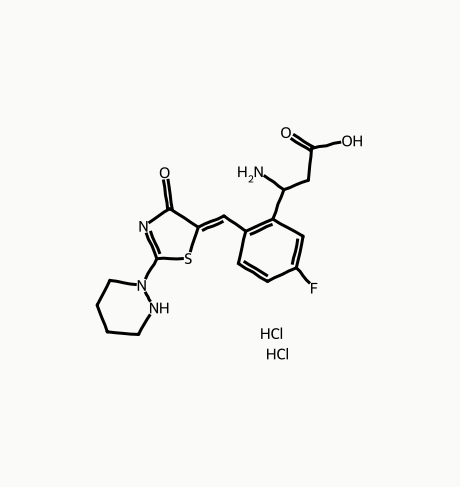 Cl.Cl.NC(CC(=O)O)c1cc(F)ccc1C=C1SC(N2CCCCN2)=NC1=O